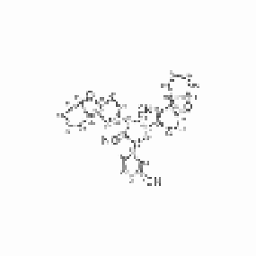 N#Cc1cccc(-c2cc(-c3ccc4oc5ccccc5c4c3)c(C#N)c(-c3ccc4oc5ccccc5c4c3)c2C#N)c1